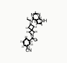 CN(c1ncnc2[nH]ccc12)C1CC2(C1)CN(C(=O)c1cccc(C#N)c1)C2